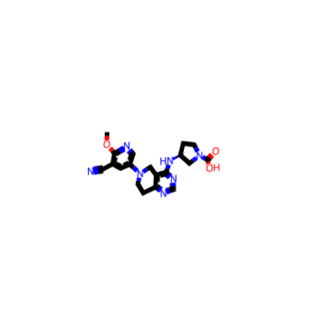 COc1ncc(N2CCc3ncnc(N[C@H]4CCN(C(=O)O)C4)c3C2)cc1C#N